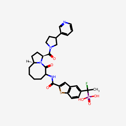 CC(F)(c1ccc2sc(C(=O)NC3CCCC[C@H]4CC[C@@H](C(=O)N5CCC(c6cccnc6)C5)N4C3=O)cc2c1)P(=O)(O)O